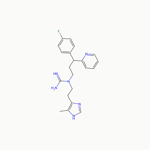 Cc1[nH]cnc1CCN(CCC(c1ccc(F)cc1)c1ccccn1)C(=N)N